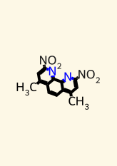 Cc1cc([N+](=O)[O-])nc2c1ccc1c(C)cc([N+](=O)[O-])nc12